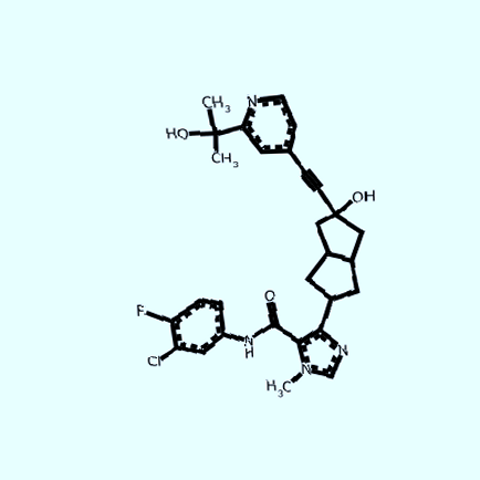 Cn1cnc(C2CC3CC(O)(C#Cc4ccnc(C(C)(C)O)c4)CC3C2)c1C(=O)Nc1ccc(F)c(Cl)c1